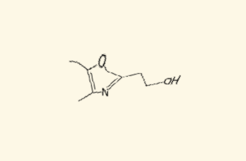 Cc1nc(CCO)oc1C